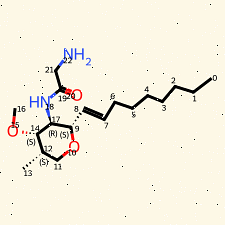 CCCCCCCC=C[C@@H]1OC[C@H](C)[C@H](OC)[C@H]1NC(=O)CN